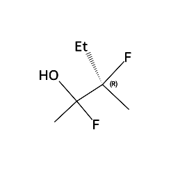 CC[C@@](C)(F)C(C)(O)F